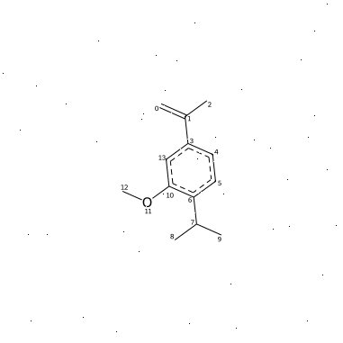 C=C(C)c1ccc(C(C)C)c(OC)c1